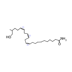 CC(CO)CC/C=C\C/C=C\C/C=C\CCCCCCCCCC(N)=O